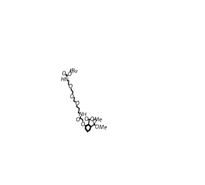 COC(=O)c1cccc(OCC(=O)NCCCOCCOCCOCCNC(=O)OC(C)(C)C)c1C(=O)OC